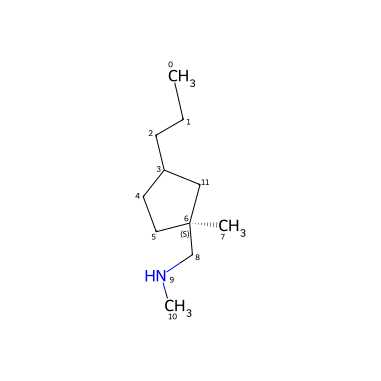 CCCC1CC[C@](C)(CNC)C1